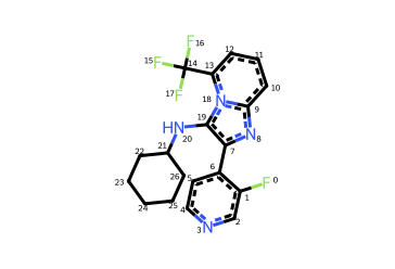 Fc1cnccc1-c1nc2cccc(C(F)(F)F)n2c1NC1CCCCC1